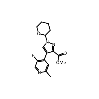 COC(=O)c1nn(C2CCCCO2)cc1-c1cc(C)ncc1F